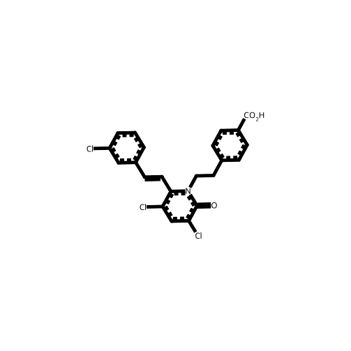 O=C(O)c1ccc(CCn2c(/C=C/c3cccc(Cl)c3)c(Cl)cc(Cl)c2=O)cc1